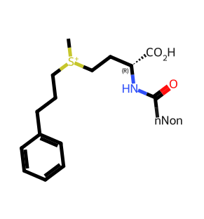 CCCCCCCCCC(=O)N[C@H](CC[S+](C)CCCc1ccccc1)C(=O)O